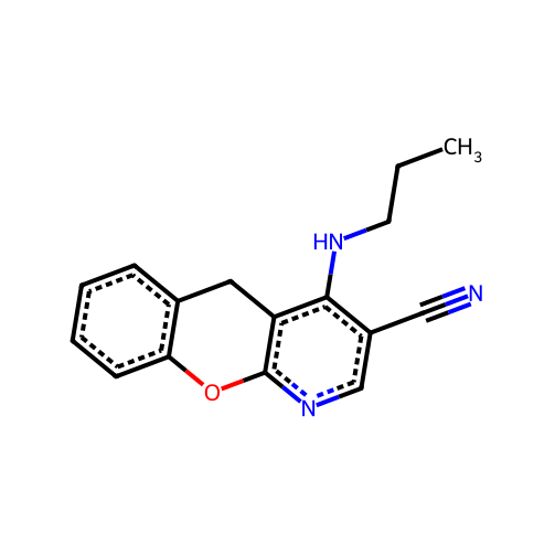 CCCNc1c(C#N)cnc2c1Cc1ccccc1O2